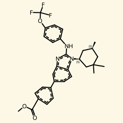 COC(=O)c1ccc(-c2ccc3c(c2)nc(Nc2ccc(OC(F)(F)F)cc2)n3[C@H]2C[C@@H](C)CC(C)(C)C2)cc1